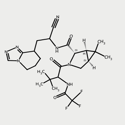 CC(C)(C)C(NC(=O)C(F)(F)F)C(=O)N1C[C@H]2[C@@H]([C@H]1C(=O)NC(C#N)CC1CCCn3cnnc31)C2(C)C